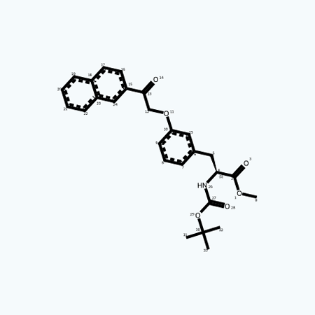 COC(=O)[C@H](Cc1cccc(OCC(=O)c2ccc3ccccc3c2)c1)NC(=O)OC(C)(C)C